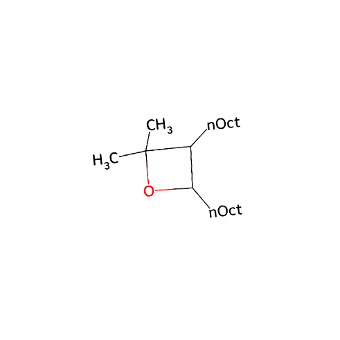 [CH2]CCCCCCCC1OC(C)(C)C1CCCCCCCC